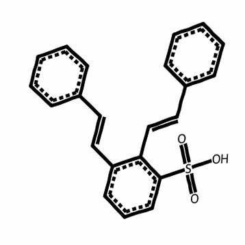 O=S(=O)(O)c1cccc(C=Cc2ccccc2)c1C=Cc1ccccc1